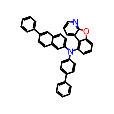 c1ccc(-c2ccc(N(c3ccc4cc(-c5ccccc5)ccc4c3)c3cccc4oc5ncccc5c34)cc2)cc1